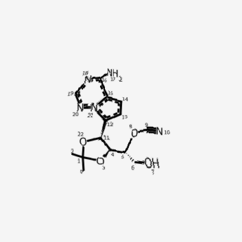 CC1(C)O[C@H]([C@@H](CO)OC#N)[C@H](c2ccc3c(N)ncnn23)O1